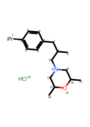 CC(Cc1ccc(C(C)C)cc1)CN1CC(C)OC(C)C1.Cl